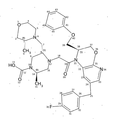 C[C@@H]1COCCN1C[C@H]1CN(C(=O)O)[C@H](C)CN1CC(=O)N1c2cc(Cc3ccc(F)cc3)cnc2OC[C@@H]1COc1ccccc1